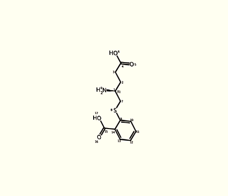 N[C@@H](CCC(=O)O)CSc1ccccc1C(=O)O